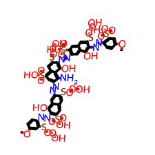 COc1ccc(N=Nc2c(S(=O)(=O)O)cc3cc(SOOO)c(N=Nc4cc(S(=O)(=O)O)c5cc(SOOO)c(N=Nc6cc7c(O)c(N=Nc8ccc(OC)cc8S(=O)(=O)O)c(SOOO)cc7cc6S(=O)(=O)O)c(O)c5c4N)cc3c2O)c(SOOO)c1